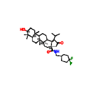 CC(C)C1=C2C3CCC4[C@@]5(C)CC[C@H](O)C(C)(C)C5CC[C@@]4(C)[C@]3(C)CC[C@@]2(C(=O)NCC2CCC(F)(F)CC2)CC1=O